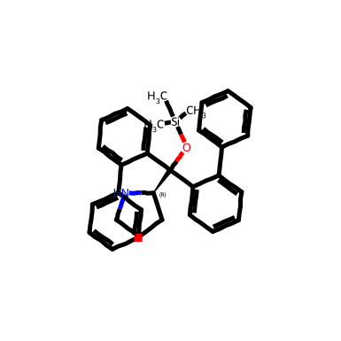 C[Si](C)(C)OC(c1ccccc1-c1ccccc1)(c1ccccc1-c1ccccc1)[C@H]1CCCN1